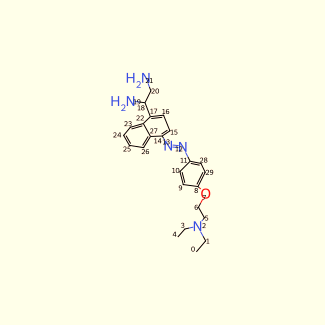 CCN(CC)CCOc1ccc(N=Nc2ccc(C(N)CN)c3ccccc23)cc1